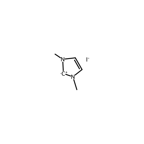 CN1[C+]N(C)C=C1.[I-]